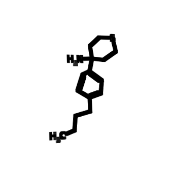 CCCCc1ccc(C2(N)CCSCC2)cc1